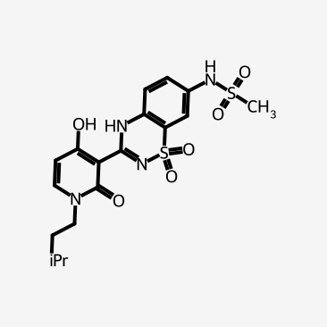 CC(C)CCn1ccc(O)c(C2=NS(=O)(=O)c3cc(NS(C)(=O)=O)ccc3N2)c1=O